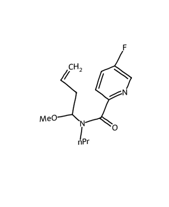 C=CCC(OC)N(CCC)C(=O)c1ccc(F)cn1